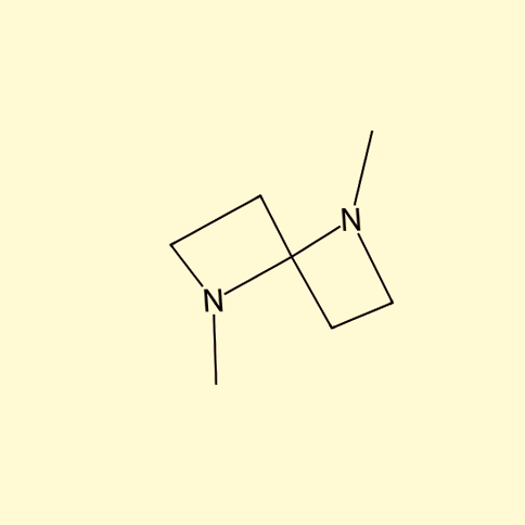 CN1CCC12CCN2C